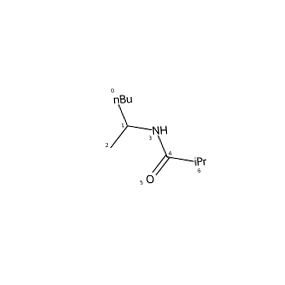 CCCCC(C)NC(=O)C(C)C